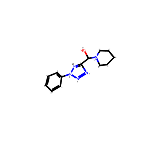 OC(c1nnn(-c2ccccc2)n1)N1CCCCC1